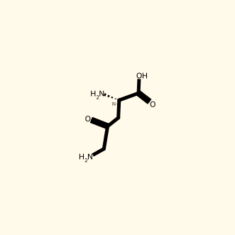 NCC(=O)C[C@H](N)C(=O)O